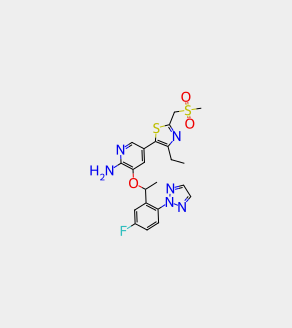 CCc1nc(CS(C)(=O)=O)sc1-c1cnc(N)c(OC(C)c2cc(F)ccc2-n2nccn2)c1